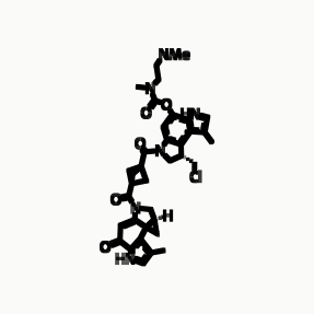 CNCCN(C)C(=O)Oc1cc2c(c3c(C)c[nH]c13)[C@H](CCl)CN2C(=O)C12CC(C(=O)N3C[C@H]4CC45C3=CC(=O)c3[nH]cc(C)c35)(C1)C2